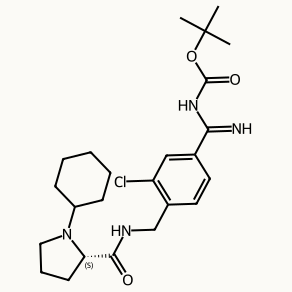 CC(C)(C)OC(=O)NC(=N)c1ccc(CNC(=O)[C@@H]2CCCN2C2CCCCC2)c(Cl)c1